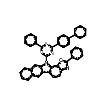 c1ccc(-c2ccc(-c3nc(-c4ccccc4)nc(-n4c5cc6ccccc6cc5c5ccc6nc(-c7ccccc7)oc6c54)n3)cc2)cc1